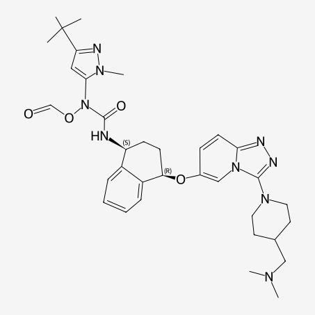 CN(C)CC1CCN(c2nnc3ccc(O[C@@H]4CC[C@H](NC(=O)N(OC=O)c5cc(C(C)(C)C)nn5C)c5ccccc54)cn23)CC1